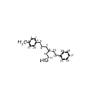 Cc1ccc(CCCC(CCO)CCc2ccccc2)cc1